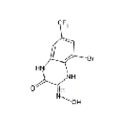 O=c1[nH]c2cc(C(F)(F)F)cc(Br)c2[nH]/c1=N\O